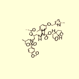 [CH2]C(=O)O[C@H](CN(CC(C)C)S(=O)(=O)c1ccc2c(c1)OCO2)[C@H](Cc1ccc(OCc2csc(C)n2)cc1)NNC(=O)O[C@H]1CO[C@H]2OCC[C@H]21